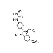 COc1ccc2c(C#N)c(-c3ccc(NC(=O)NC(C)C)cc3)n(CC3CC3)c2c1